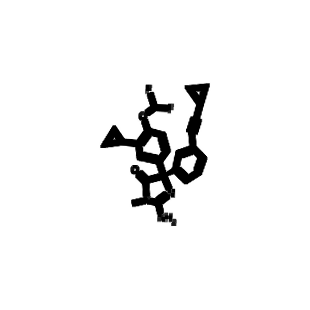 CN1C(=O)[C@](c2cccc(C#CC3CC3)c2)(c2ccc(OC(F)F)c(C3CC3)c2)N=C1N